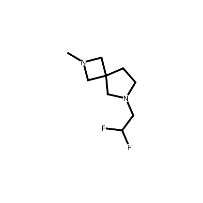 CN1CC2(CCN(CC(F)F)C2)C1